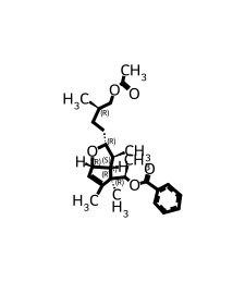 CC(=O)OC[C@H](C)CC[C@H]1O[C@H]2C=C(C)[C@](C)([C@@H](C)OC(=O)c3ccccc3)[C@H]2[C@@H]1C